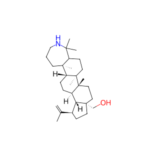 C=C(C)[C@@H]1CC[C@]2(CO)CC[C@]3(C)[C@H](CC[C@@H]4[C@@]5(C)CCCNC(C)(C)C5CC[C@]43C)[C@@H]12